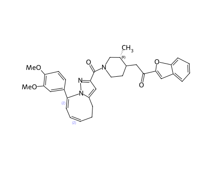 COc1ccc(/C2=C/C=C\CCc3cc(C(=O)N4CCC(CC(=O)c5cc6ccccc6o5)[C@@H](C)C4)nn32)cc1OC